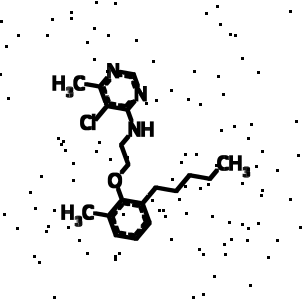 CCCCCc1cccc(C)c1OCCNc1ncnc(C)c1Cl